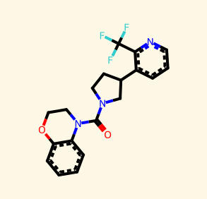 O=C(N1CCC(c2cccnc2C(F)(F)F)C1)N1CCOc2ccccc21